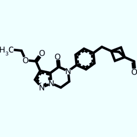 CCOC(=O)c1cnn2c1C(=O)N(c1ccc(CC34CC(C=O)(C3)C4)cc1)CC2